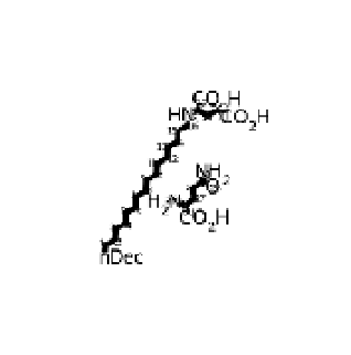 CCCCCCCCCCCCCCCCCCCCCCCCCCNC(CCC(=O)O)C(=O)O.NC(=O)CCC(N)C(=O)O